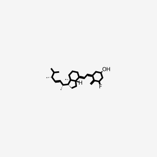 C=C1/C(=C\C=C2/CCC[C@]3(C)[C@@H]([C@H](C)/C=C/[C@H](C)C(C)C)CC[C@@H]23)C[C@@H](O)CC1F